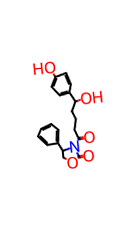 O=C(CCCC(O)c1ccc(O)cc1)N1C(=O)OCC1c1ccccc1